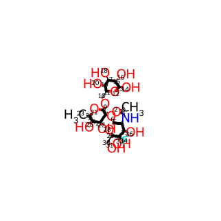 CC(=O)N[C@@H]1[C@H](O[C@@H]2[C@H](OC[C@H]3O[C@H](O)[C@@H](O)[C@@H](O)[C@@H]3O)O[C@H](C)[C@@H](O)[C@@H]2O)O[C@H](CO)[C@](O)(F)[C@@H]1O